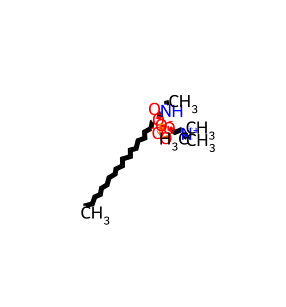 CCCCCCCCCCCCCCCCCCC(COC(=O)NCC)OP(=O)([O-])OCC[N+](C)(C)C